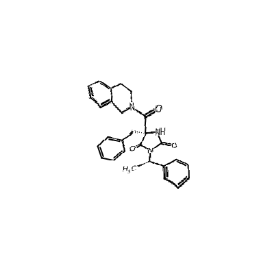 C[C@H](c1ccccc1)N1C(=O)N[C@](Cc2ccccc2)(C(=O)N2CCc3ccccc3C2)C1=O